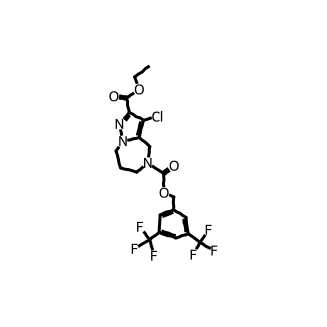 CCOC(=O)c1nn2c(c1Cl)CN(C(=O)OCc1cc(C(F)(F)F)cc(C(F)(F)F)c1)CCC2